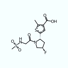 Cc1sc([C@@H]2C[C@@H](F)CN2C(=O)CNS(C)(=O)=O)cc1C(=O)O